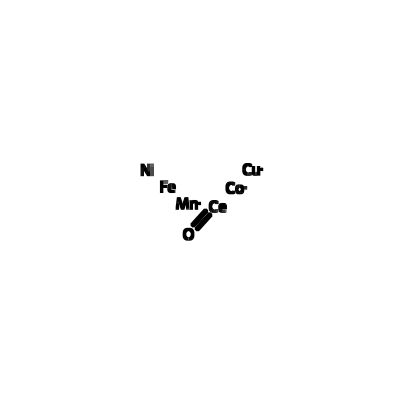 [Co].[Cu].[Fe].[Mn].[Ni].[O]=[Ce]